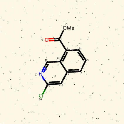 COC(=O)c1cccc2cc(Cl)ncc12